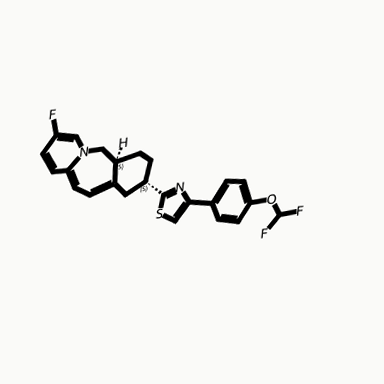 FC1=CN2C[C@H]3CC[C@H](c4nc(-c5ccc(OC(F)F)cc5)cs4)CC3=CC=C2C=C1